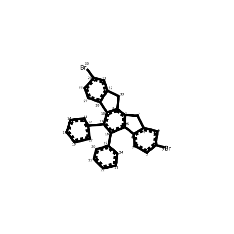 Brc1ccc2c(c1)Cc1c3c(c(-c4ccccc4)c(-c4ccccc4)c1-2)-c1ccc(Br)cc1C3